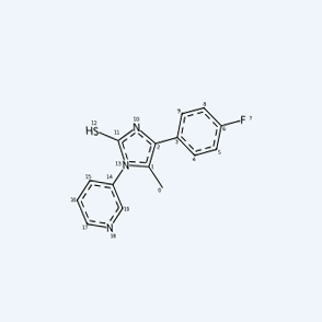 Cc1c(-c2ccc(F)cc2)nc(S)n1-c1cccnc1